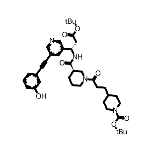 CC(C)(C)OC(=O)C[C@H](NC(=O)[C@@H]1CCCN(C(=O)CCC2CCN(C(=O)OC(C)(C)C)CC2)C1)c1cncc(C#Cc2cccc(O)c2)c1